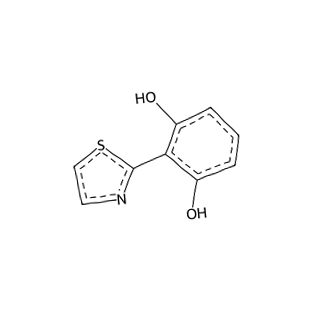 Oc1cccc(O)c1-c1nccs1